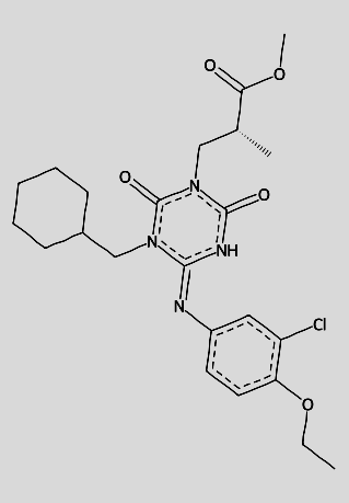 CCOc1ccc(/N=c2\[nH]c(=O)n(C[C@@H](C)C(=O)OC)c(=O)n2CC2CCCCC2)cc1Cl